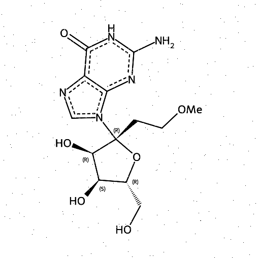 COCC[C@@]1(n2cnc3c(=O)[nH]c(N)nc32)O[C@H](CO)[C@@H](O)[C@H]1O